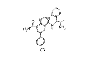 CC(N)C(Nc1ncnc2c(C(N)=O)cc(-c3ccc(C#N)cc3)cc12)c1ccccc1